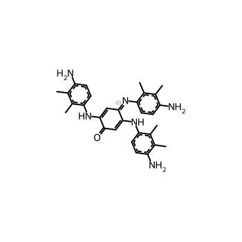 Cc1c(N)ccc(/N=C2/C=C(Nc3ccc(N)c(C)c3C)C(=O)C=C2Nc2ccc(N)c(C)c2C)c1C